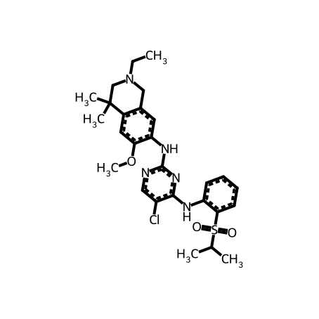 CCN1Cc2cc(Nc3ncc(Cl)c(Nc4ccccc4S(=O)(=O)C(C)C)n3)c(OC)cc2C(C)(C)C1